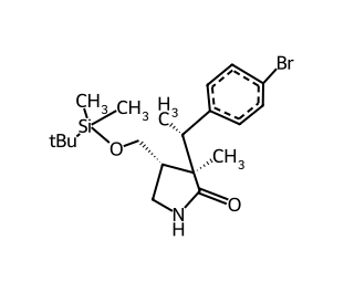 C[C@H](c1ccc(Br)cc1)[C@@]1(C)C(=O)NC[C@@H]1CO[Si](C)(C)C(C)(C)C